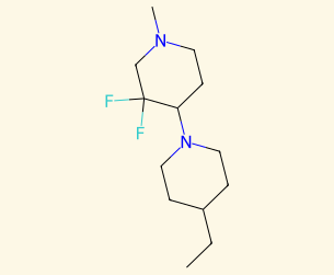 CCC1CCN(C2CCN(C)CC2(F)F)CC1